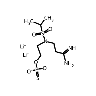 CC(C)S(=O)(=O)N(CCOP([O-])([O-])=S)CCC(=N)N.[Li+].[Li+]